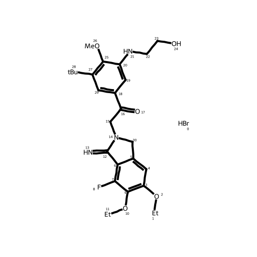 Br.CCOc1cc2c(c(F)c1OCC)C(=N)N(CC(=O)c1cc(NCCO)c(OC)c(C(C)(C)C)c1)C2